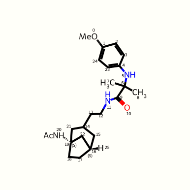 COc1ccc(NC(C)(C)C(=O)NCCC2C[C@@H]3CC[C@@](NC(C)=O)(C2)C3)cc1